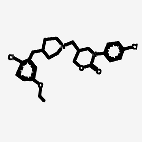 CCOc1ccc(Cl)c(CC2CCN(CC3COC(=O)N(c4ccc(Cl)cc4)C3)CC2)c1